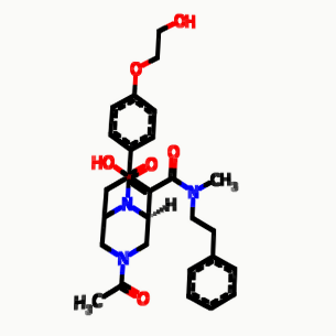 CC(=O)N1CC2CC(c3ccc(OCCO)cc3)=C(C(=O)N(C)CCc3ccccc3)[C@@H](C1)N2C(=O)O